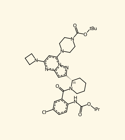 CC(C)OC(=O)Nc1ccc(Cl)cc1C(=O)N1CCCC[C@H]1c1cc2nc(N3CCC3)cc(N3CCN(C(=O)OC(C)(C)C)CC3)n2n1